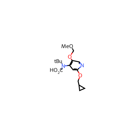 COCOc1cnc(OCC2CC2)cc1N(C(=O)O)C(C)(C)C